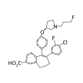 O=C(O)c1ccc2c(c1)CCCC(c1ccc(Cl)c(F)c1)=C2c1ccc(O[C@H]2CCN(CCCF)C2)cc1